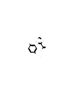 N#Cc1ccc(C(=O)O)cc1.NC(=O)c1ncon1